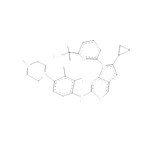 Cc1c(Nc2ncc3cc(C4CC4)n(-c4cccc(C(C)(C)O)n4)c3n2)ccc(N2CCN(C)CC2)c1F